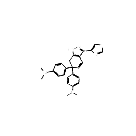 CN(C)c1ccc(C2(c3ccc(N(C)C)cc3)C=Cc3c(-c4cscn4)n[nH]c3C2)cc1